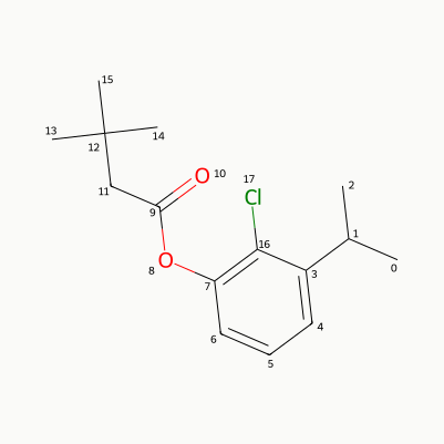 CC(C)c1cccc(OC(=O)CC(C)(C)C)c1Cl